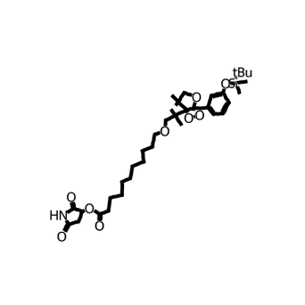 CC(C)(COCCCCCCCCCCC(=O)OC1CC(=O)NC1=O)C12OOC1(c1cccc(O[Si](C)(C)C(C)(C)C)c1)OCC2(C)C